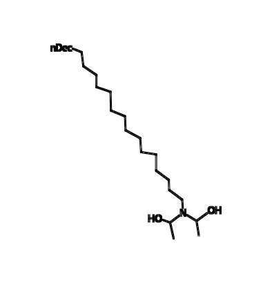 CCCCCCCCCCCCCCCCCCCCCCCCCN(C(C)O)C(C)O